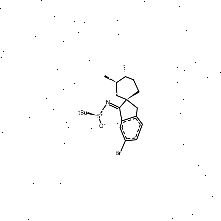 C[C@@H]1CC[C@]2(Cc3ccc(Br)cc3/C2=N\[S@@+]([O-])C(C)(C)C)C[C@H]1C